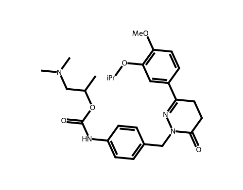 COc1ccc(C2=NN(Cc3ccc(NC(=O)OC(C)CN(C)C)cc3)C(=O)CC2)cc1OC(C)C